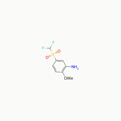 COc1ccc(S(=O)(=O)C(F)F)cc1N